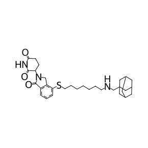 O=C1CCC(N2Cc3c(SCCCCCCCNCC45CC6CC(CC(C6)C4)C5)cccc3C2=O)C(=O)N1